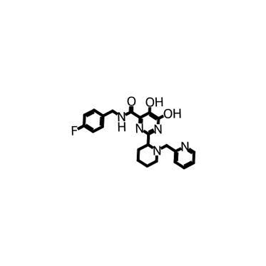 O=C(NCc1ccc(F)cc1)c1nc(C2CCCCN2Cc2ccccn2)nc(O)c1O